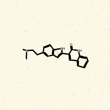 CN(C)CCc1ccc2[nH]c(-c3cc4ccccc4[nH]c3=O)cc2c1